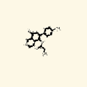 CCC(=O)Oc1c(-c2ccc(C)cc2)cc(=O)c2coccc1-2